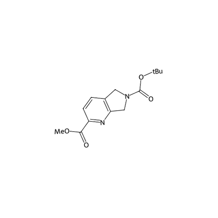 COC(=O)c1ccc2c(n1)CN(C(=O)OC(C)(C)C)C2